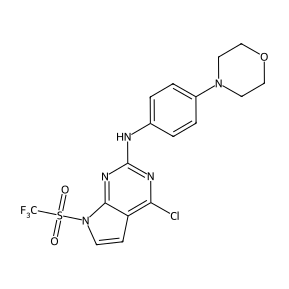 O=S(=O)(n1ccc2c(Cl)nc(Nc3ccc(N4CCOCC4)cc3)nc21)C(F)(F)F